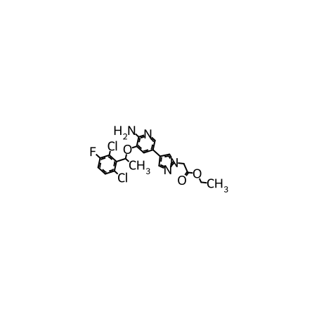 CCOC(=O)Cn1cc(-c2cnc(N)c(OC(C)c3c(Cl)ccc(F)c3Cl)c2)cn1